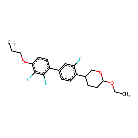 CCCOc1ccc(-c2ccc(C3CCC(OCC)OC3)c(F)c2)c(F)c1F